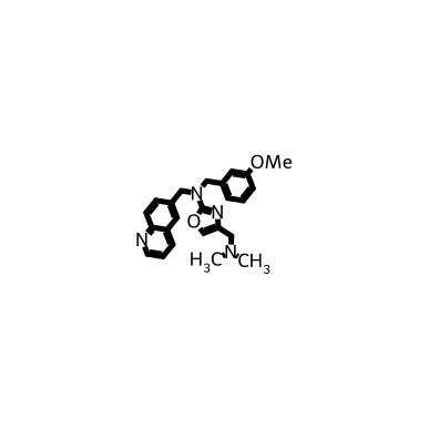 COc1cccc(CN(Cc2ccc3ncccc3c2)c2nc(CN(C)C)co2)c1